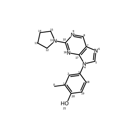 Cc1cc(-n2cnc3cnc(N4CCCC4)nc32)ccc1O